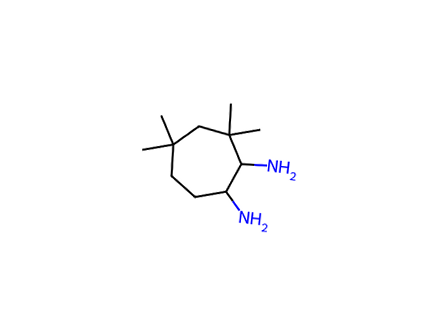 CC1(C)CCC(N)C(N)C(C)(C)C1